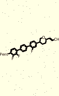 C/C=C/C1CCC(c2ccc(-c3ccc(-c4ccc(CCCCC)c(F)c4F)cc3)c(F)c2)CO1